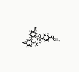 COc1ccc(S(=O)(=O)N2c3cc(F)ccc3-c3cc(F)ccc3C2C)cc1